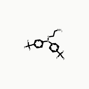 NCCSB(c1ccc(C(F)(F)F)cc1)c1ccc(C(F)(F)F)cc1